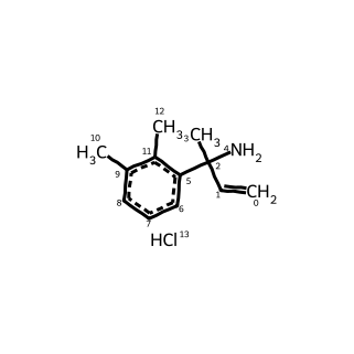 C=CC(C)(N)c1cccc(C)c1C.Cl